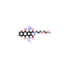 CNc1c(C(=O)N(C)CCCOCCOC)c(C=O)c(N)c2c1C(=O)c1ccccc1C2=O